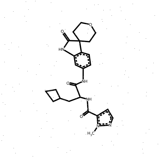 Cn1nccc1C(=O)NC(CC1CCC1)C(=O)Nc1ccc2c(c1)NC(=O)C21CCOCC1